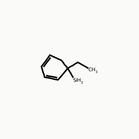 CCC1([SiH3])C=CC=CC1